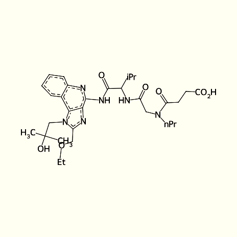 CCCN(CC(=O)NC(C(=O)Nc1nc2ccccc2c2c1nc(COCC)n2CC(C)(C)O)C(C)C)C(=O)CCC(=O)O